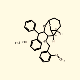 COc1ccccc1CNC1C(C(c2ccccc2)c2ccccc2)NC2CCC[C@H]3C(C2)[C@@H]13.Cl.Cl